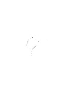 CC1C=C(S)C=CC1(O)S